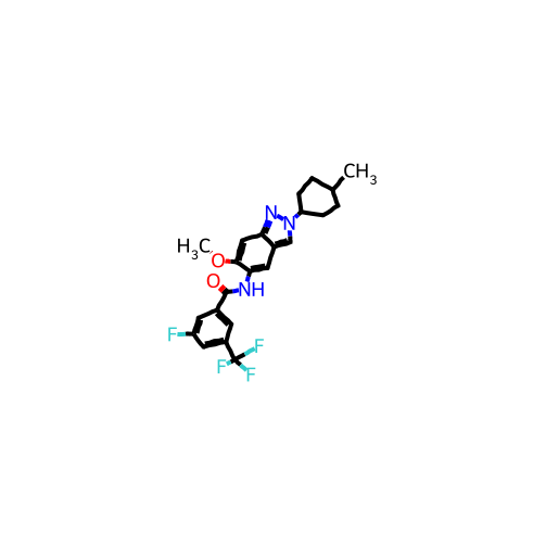 COc1cc2nn(C3CCC(C)CC3)cc2cc1NC(=O)c1cc(F)cc(C(F)(F)F)c1